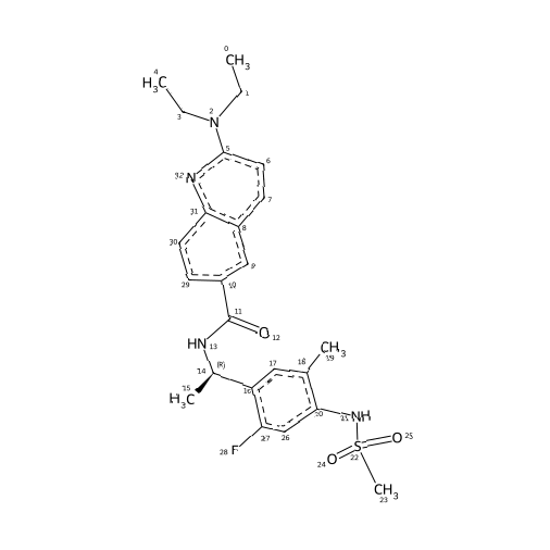 CCN(CC)c1ccc2cc(C(=O)N[C@H](C)c3cc(C)c(NS(C)(=O)=O)cc3F)ccc2n1